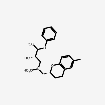 CC(C)(C)C(Oc1ccccc1)[C@@H](O)CN(C[C@H]1CCc2cc(I)ccc2O1)C(=O)O